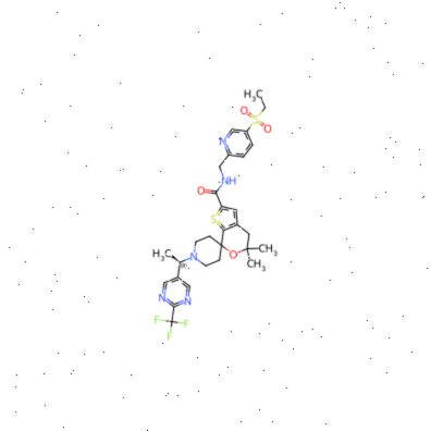 CCS(=O)(=O)c1ccc(CNC(=O)c2cc3c(s2)C2(CCN([C@H](C)c4cnc(C(F)(F)F)nc4)CC2)OC(C)(C)C3)nc1